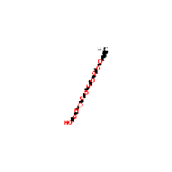 CCCCCCOCCOCCOCCOCCOCCOCCOCCOCCOCCOCCO